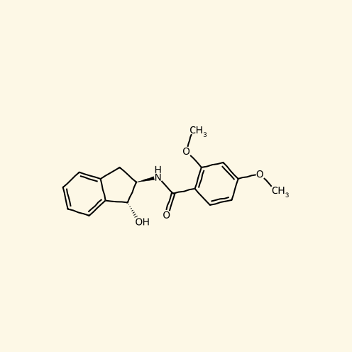 COc1ccc(C(=O)N[C@@H]2Cc3ccccc3[C@H]2O)c(OC)c1